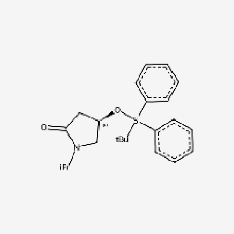 CC(C)N1C[C@H](O[Si](c2ccccc2)(c2ccccc2)C(C)(C)C)CC1=O